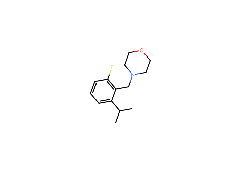 CC(C)c1cccc(F)c1CN1CCOCC1